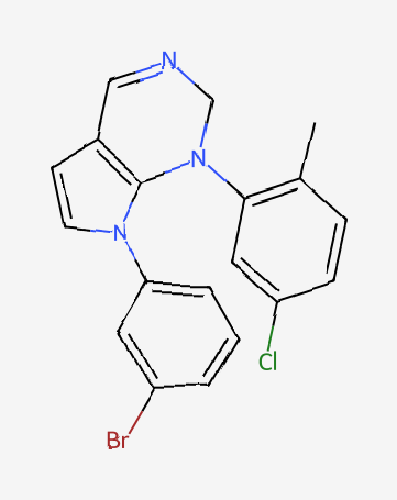 Cc1ccc(Cl)cc1N1CN=Cc2ccn(-c3cccc(Br)c3)c21